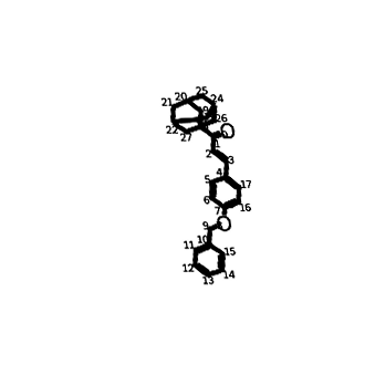 O=C(C=Cc1ccc(OCc2ccccc2)cc1)C12CC3CC(CC(C3)C1)C2